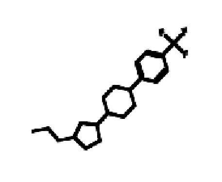 CCCC1CCC(C2CCC(c3ccc(C(F)(F)F)cc3)CC2)C1